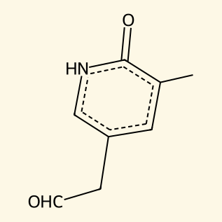 Cc1cc(CC=O)c[nH]c1=O